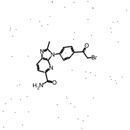 Cc1nc2ccc(C(N)=O)nc2n1-c1ccc(C(=O)CBr)cc1